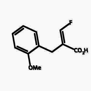 COc1ccccc1CC(=CF)C(=O)O